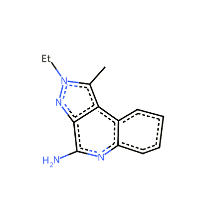 CCn1nc2c(N)nc3ccccc3c2c1C